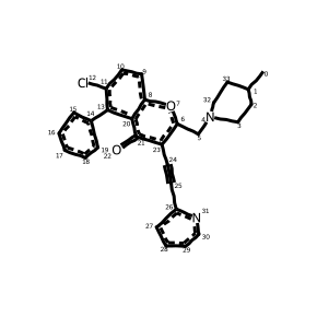 CC1CCN(Cc2oc3ccc(Cl)c(-c4ccccc4)c3c(=O)c2C#Cc2ccccn2)CC1